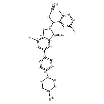 C#CCC(c1cc(F)ccc1F)N1Cc2c(F)cc(-c3ccc(N4CCN(C)CC4)cc3)cc2C1=O